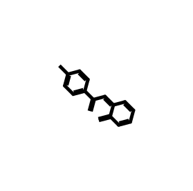 C=C(/C=c1/ccccc1=C)c1ccc(C)cc1